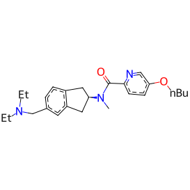 CCCCOc1ccc(C(=O)N(C)[C@@H]2Cc3ccc(CN(CC)CC)cc3C2)nc1